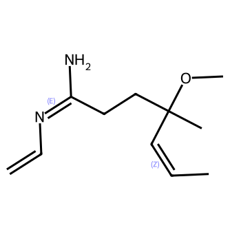 C=C/N=C(/N)CCC(C)(/C=C\C)OC